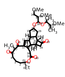 CC[C@H]1CCCC(=O)[C@@H](C)C(=O)C2=CC3[C@@H]4C[C@H](OC(OC(C)[C@@H](C)OC)[C@H](COC)OC)CC4[C@@H]4C(=O)C[C@@H]4[C@H]3[C@@H]2CC(=O)O1